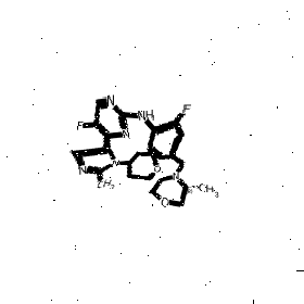 Cc1ncc(-c2nc(Nc3ccc(CN4CCOC[C@H]4C)cc3F)ncc2F)n1C1CCOCC1